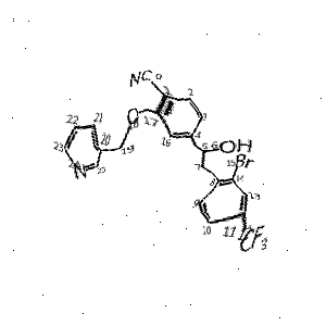 N#Cc1ccc(C(O)Cc2ccc(C(F)(F)F)cc2Br)cc1OCc1cccnc1